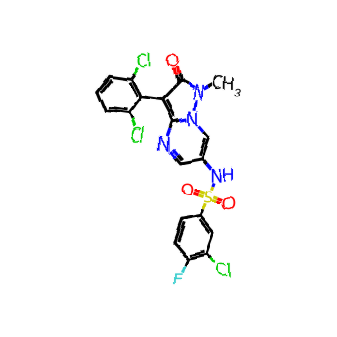 Cn1c(=O)c(-c2c(Cl)cccc2Cl)c2ncc(NS(=O)(=O)c3ccc(F)c(Cl)c3)cn21